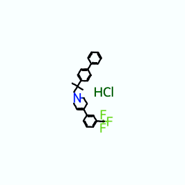 CC(C)(CN1CC=C(c2cccc(C(F)(F)F)c2)CC1)c1ccc(-c2ccccc2)cc1.Cl